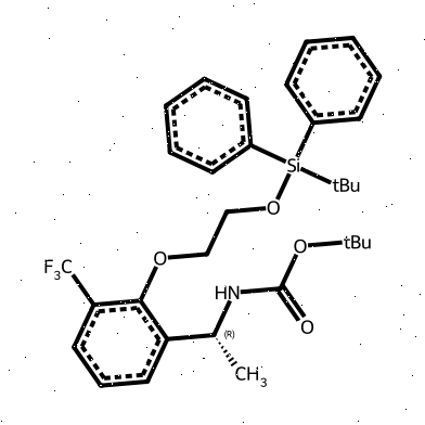 C[C@@H](NC(=O)OC(C)(C)C)c1cccc(C(F)(F)F)c1OCCO[Si](c1ccccc1)(c1ccccc1)C(C)(C)C